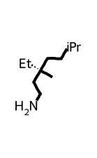 CC[C@](C)(CCN)CCC(C)C